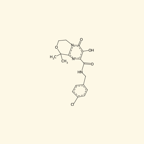 CC1(C)OCCn2c1nc(C(=O)NCc1ccc(Cl)cc1)c(O)c2=O